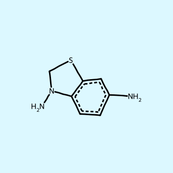 Nc1ccc2c(c1)SCN2N